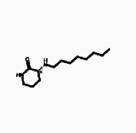 CCCCCCCCN[C@@H]1CCCNC1=O